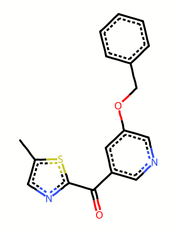 Cc1cnc(C(=O)c2cncc(OCc3ccccc3)c2)s1